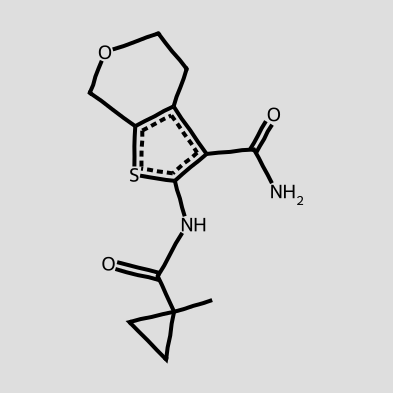 CC1(C(=O)Nc2sc3c(c2C(N)=O)CCOC3)CC1